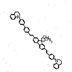 CCC1(CC)c2cc(/C=C/c3ccc(-c4ccc(N5CCCc6ccccc65)cc4)cc3)ccc2-c2ccc(/C=C/c3ccc(N4CCCc5ccccc54)cc3)cc21